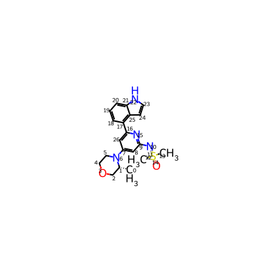 C[C@@H]1COCCN1c1cc(N=S(C)(C)=O)nc(-c2cccc3[nH]ccc23)c1